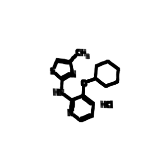 Cc1csc(Nc2ncccc2OC2CCCCC2)n1.Cl